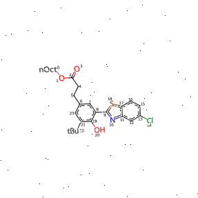 CCCCCCCCOC(=O)CCc1cc(-c2nc3cc(Cl)ccc3s2)c(O)c(C(C)(C)C)c1